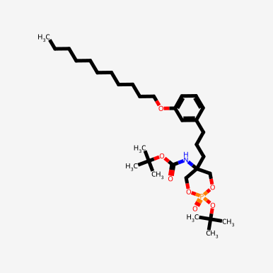 CCCCCCCCCCCOc1cccc(CCCC2(NC(=O)OC(C)(C)C)COP(=O)(OC(C)(C)C)OC2)c1